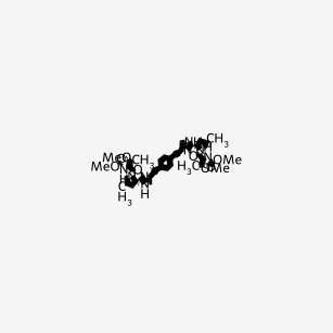 COC(=O)N[C@H](C(=O)N1C[C@@H](C)C[C@H]1c1nc(C#Cc2ccc(C#Cc3c[nH]c([C@@H]4C[C@H](C)CN4C(=O)[C@@H](NC(=O)OC)[C@@H](C)OC)n3)cc2)c[nH]1)[C@@H](C)OC